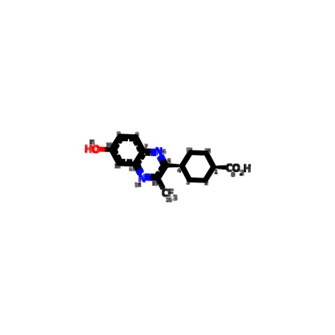 O=C(O)[C@H]1CC[C@@H](c2nc3ccc(O)cc3nc2C(F)(F)F)CC1